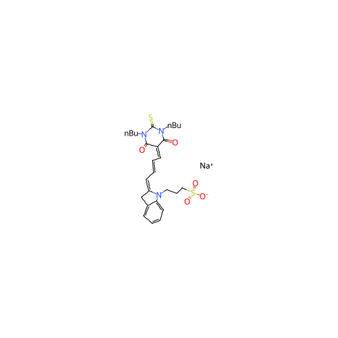 CCCCN1C(=O)C(=C/C=C/C=C2/Cc3ccccc3N2CCCS(=O)(=O)[O-])C(=O)N(CCCC)C1=S.[Na+]